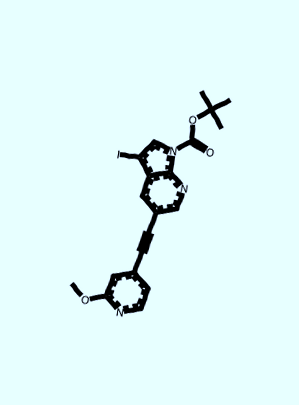 COc1cc(C#Cc2cnc3c(c2)c(I)cn3C(=O)OC(C)(C)C)ccn1